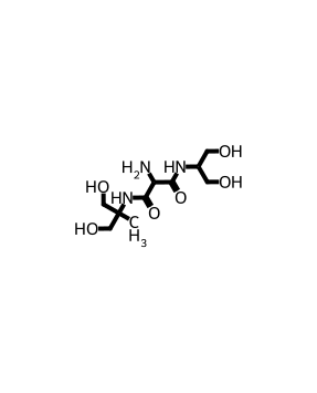 CC(CO)(CO)NC(=O)C(N)C(=O)NC(CO)CO